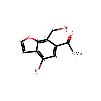 COC(=O)c1cc(Br)c2ccoc2c1CBr